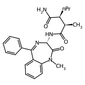 CCC[C@H](C(N)=O)[C@@H](C)C(=O)N[C@H]1N=C(c2ccccc2)c2ccccc2N(C)C1=O